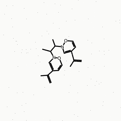 C=C(C)C1=CN(C(C)C(C)N2C=C(C(=C)C)C=CO2)OC=C1